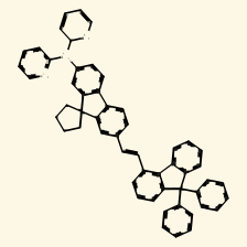 C1=CNC(N(c2ccc3c(c2)C2(CCCC2)c2cc(/C=C/c4cccc5c4-c4ccccc4C5(c4ccccc4)c4ccccc4)ccc2-3)c2ccccn2)C=C1